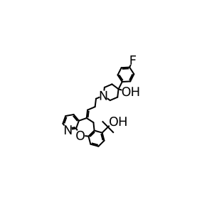 CC(C)(O)c1cccc2c1CC(=CCCN1CCC(O)(c3ccc(F)cc3)CC1)c1cccnc1O2